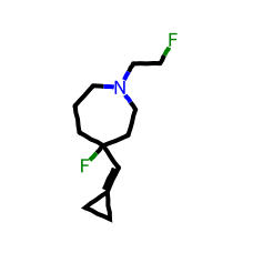 FCCN1CCCC(F)(C=C2CC2)CC1